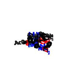 C/N=C(\N)n1nc(C(Nc2ccc(/C(N)=N/C(=O)c3ccccc3)cc2)c2cc(OC)cc(OCCOC(C)=O)c2F)nc1OCOC(=O)C(C)(C)COC